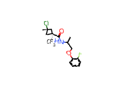 CC(COc1ccccc1F)NC(=O)[C@]1(C(F)(F)F)C[C@@](C)(Cl)C1